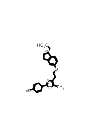 CCC1=CCC(c2nc(CCOc3ccc4c(c3)CC[C@H]4CC(=O)O)c(C)o2)C=C1